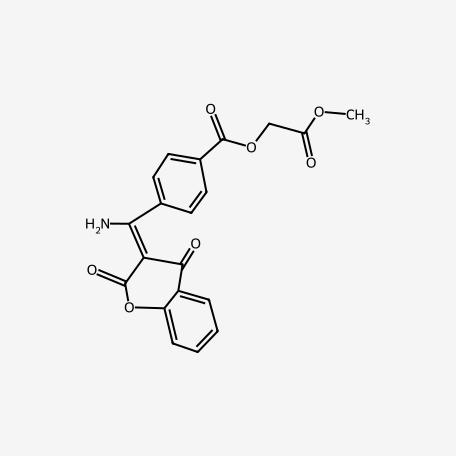 COC(=O)COC(=O)c1ccc(/C(N)=C2/C(=O)Oc3ccccc3C2=O)cc1